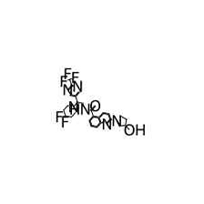 O=C(NCC(c1cnc(C(F)(F)F)nc1)N1CCC(F)(F)CC1)c1cccc2nc(N3CCC(O)C3)ccc12